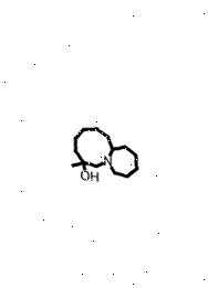 CC1(O)CCCCCC2CCCCCN2C1